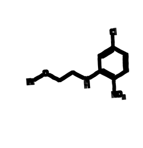 CCOCCNc1cc(Cl)ccc1[N+](=O)[O-]